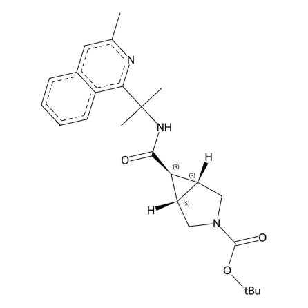 Cc1cc2ccccc2c(C(C)(C)NC(=O)[C@H]2[C@@H]3CN(C(=O)OC(C)(C)C)C[C@@H]32)n1